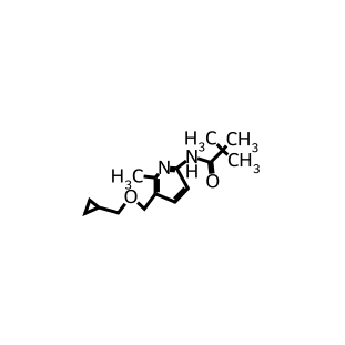 Cc1nc(NC(=O)C(C)(C)C)ccc1COCC1CC1